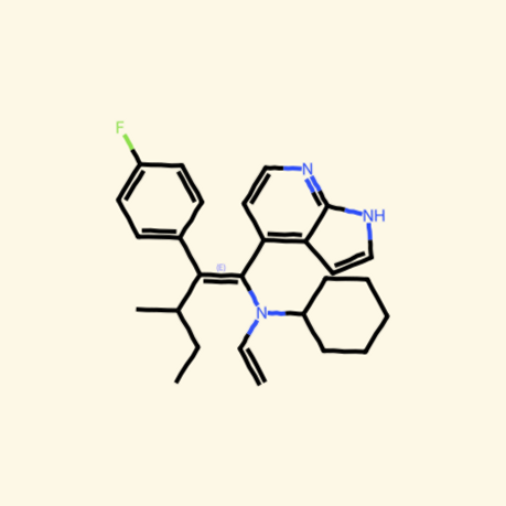 C=CN(/C(=C(/c1ccc(F)cc1)C(C)CC)c1ccnc2[nH]ccc12)C1CCCCC1